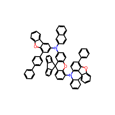 CC1CC=CC=C1N(c1cccc2c1Oc1ccc(N(c3ccc4ccccc4c3)c3cc(-c4ccc(-c5ccccc5)cc4)c4oc5ccccc5c4c3)cc1C21c2ccccc2-c2ccccc21)c1ccc(-c2ccccc2)c2oc3ccccc3c12